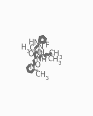 CC[C@H]1CCCCN1C(=O)C[C@H](NC(=O)OCC(C)C)C(=O)N[C@@H](C)c1nc2c(F)cccc2[nH]1